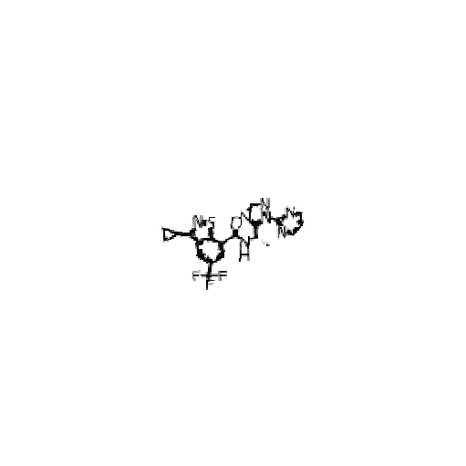 C[C@H](NC(=O)c1cc(C(F)(F)F)cc2c(C3CC3)nsc12)c1ncnn1-c1ncccn1